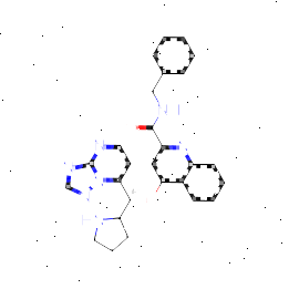 O=C(NCc1ccccc1)c1cc(O[C@@H](c2ccnc3ncnn23)C2CCCN2)c2ccccc2n1